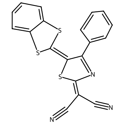 N#CC(C#N)=c1nc(-c2ccccc2)c(=C2Sc3ccccc3S2)s1